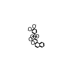 COc1ccc(S(=O)(=O)c2cc3c(ccc4ccccc43)oc2=O)cc1OC